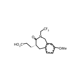 COc1ccc2c(c1)CN(CC(F)(F)F)C(=O)[C@@H](CCC(=O)O)C2